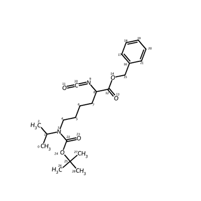 CC(C)N(CCCCC(N=C=O)C(=O)OCc1ccccc1)C(=O)OC(C)(C)C